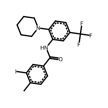 Cc1ccc(C(=O)Nc2cc(C(F)(F)F)ccc2N2CCCCC2)cc1I